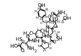 CC[C@H](C)[C@H](NC(=O)[C@@H](N)[C@@H](S)C(=O)O)C(=O)N1CCC[C@H]1C(=O)N[C@@H](CS)C(=O)N[C@@H](Cc1ccc(O)cc1)C(=O)N[C@@H](CO)C(N)=O